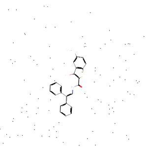 CSc1ccc2sc(C(=O)NC=C(c3ccccc3)c3ccccc3)c(O)c2c1